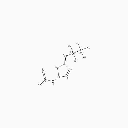 CC(=O)O[C@H]1C=C[C@H](O[Si](C)(C)C(C)(C)C)C1